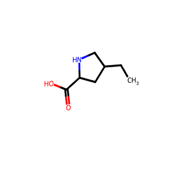 CCC1CNC(C(=O)O)C1